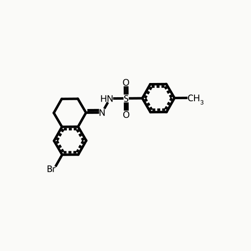 Cc1ccc(S(=O)(=O)NN=C2CCCc3cc(Br)ccc32)cc1